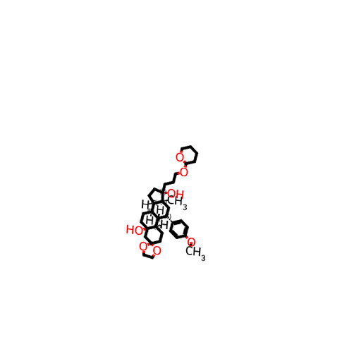 COc1ccc([C@H]2C[C@@]3(C)[C@H](CC[C@]3(O)CCCOC3CCCCO3)[C@@H]3CCC4(O)CC5(CC[C@@H]4[C@H]32)OCCO5)cc1